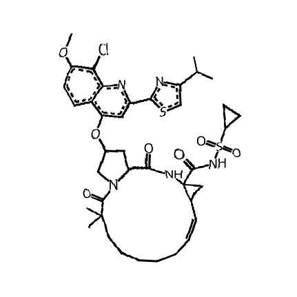 COc1ccc2c(OC3CC4C(=O)NC5(C(=O)NS(=O)(=O)C6CC6)CC5C=CCCCCCC(C)(C)C(=O)N4C3)cc(-c3nc(C(C)C)cs3)nc2c1Cl